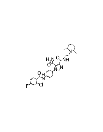 CC1CCCC(C)N1CCNC(=O)c1ncn(-c2ccc(NC(=O)c3ccc(F)cc3Cl)cc2)c1C(N)=O